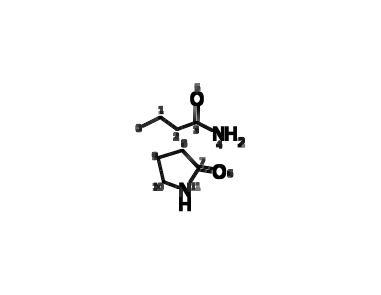 CCCC(N)=O.O=C1CCCN1